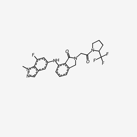 Cn1ncc2cc(Nc3cccc4c3C(=O)N(CC(=O)N3CCCC3C(F)(F)F)C4)cc(F)c21